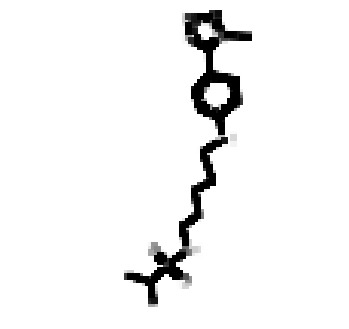 CC(C)S(=O)(=O)NCCCCCNc1ccc(-c2nnnn2C)cc1